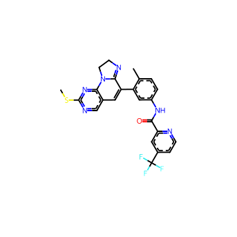 CSc1ncc2c(n1)N1CCN=C1C(c1cc(NC(=O)c3cc(C(F)(F)F)ccn3)ccc1C)=C2